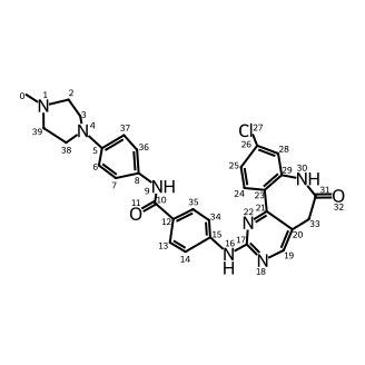 CN1CCN(c2ccc(NC(=O)c3ccc(Nc4ncc5c(n4)-c4ccc(Cl)cc4NC(=O)C5)cc3)cc2)CC1